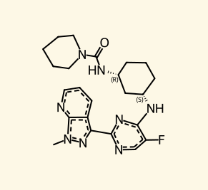 Cn1nc(-c2ncc(F)c(N[C@H]3CCC[C@@H](NC(=O)N4CCCCC4)C3)n2)c2cccnc21